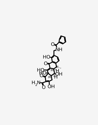 C[C@H]1c2ccc(CNC(=O)c3ccccc3)c(O)c2C(=O)C2=C(O)[C@]3(O)C(=O)C(C(N)=O)=C(O)C[C@@H]3[C@@H](O)[C@@H]21